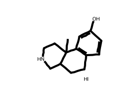 CC12CCNCC1CCc1ccc(O)cc12.I